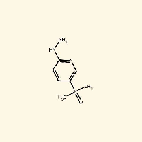 CP(C)(=O)c1ccc(NN)nc1